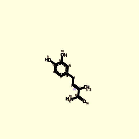 C/C(=C\Cc1ccc(O)c(O)c1)C(N)=O